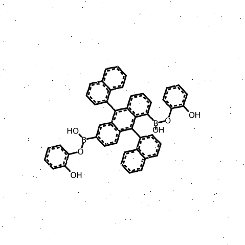 OB(Oc1ccccc1O)c1ccc2c(-c3cccc4ccccc34)c3c(B(O)Oc4ccccc4O)cccc3c(-c3cccc4ccccc34)c2c1